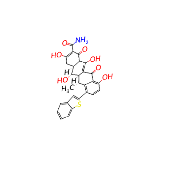 C[C@H]1c2c(-c3cc4ccccc4s3)ccc(O)c2C(=O)C2=C(O)C3C(=O)C(C(N)=O)=C(O)C[C@@H]3[C@@H](O)[C@@H]21